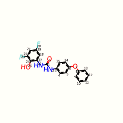 O=C(Nc1ccc(Oc2ccccc2)cc1)Nc1cc(F)cc(F)c1O